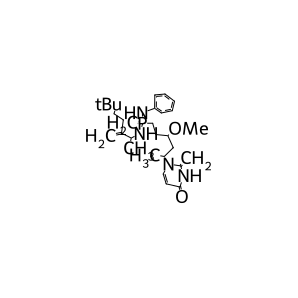 C=C(CCC(C)(C)C)C(C)NP(=C)(CCC(CC(C)N1C=CC(=O)NC1=C)OC)Nc1ccccc1